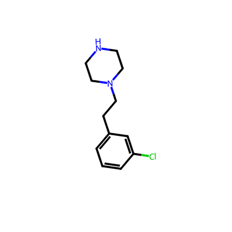 Clc1cccc(CCN2CCNCC2)c1